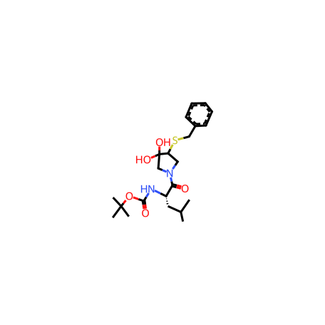 CC(C)C[C@H](NC(=O)OC(C)(C)C)C(=O)N1CC(SCc2ccccc2)C(O)(O)C1